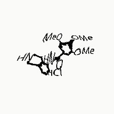 COc1cc(C(=O)Nc2cccc3c2CCNC3)cc(OC)c1OC.Cl